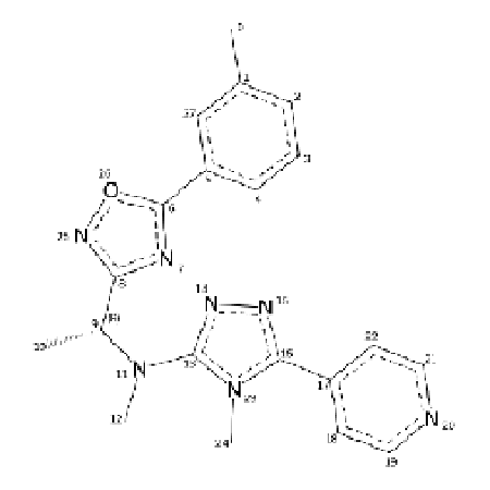 Cc1cccc(-c2nc([C@@H](C)N(C)c3nnc(-c4ccncc4)n3C)no2)c1